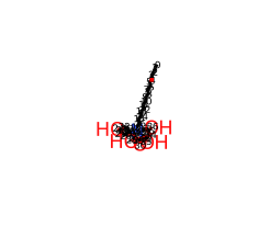 CCCCCCCCCCCCCCCCCCn1c(-c2ccc(O)cc2)c(O)c(=O)c2c(O)cc(O)cc21